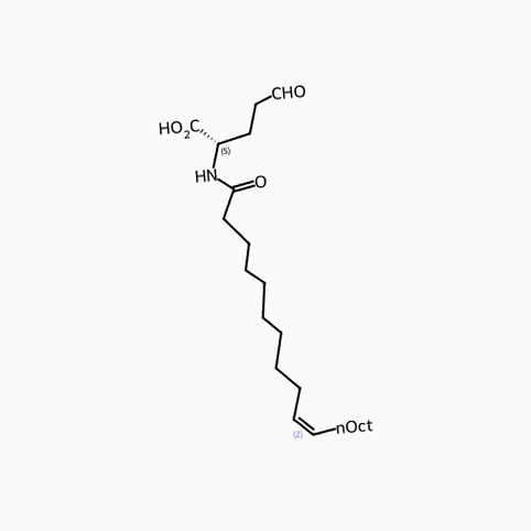 CCCCCCCC/C=C\CCCCCCCCC(=O)N[C@@H](CCC=O)C(=O)O